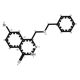 O=c1[nH]nc(COCc2ccccc2)c2cc(Br)ccc12